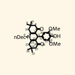 CCCCCCCCCCN1C2=C(C(=O)CC(C)(C)C2)C(c2cc(OC)c(O)c(OC)c2)C2=C1CC(C)(C)CC2=O